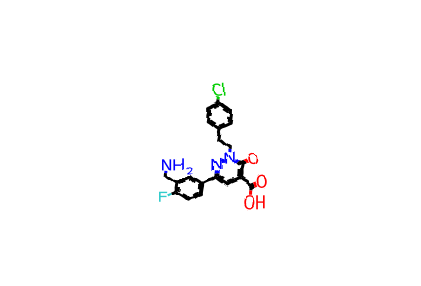 NCc1cc(-c2cc(C(=O)O)c(=O)n(CCc3ccc(Cl)cc3)n2)ccc1F